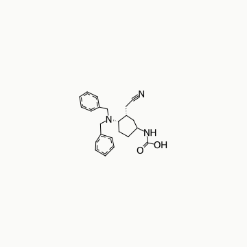 N#CC[C@@H]1CC(NC(=O)O)CC[C@@H]1N(Cc1ccccc1)Cc1ccccc1